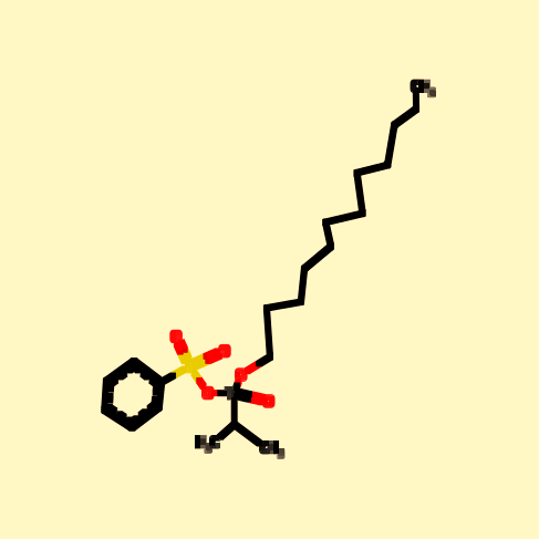 CCCCCCCCCCCC[O][Ti](=[O])([O]S(=O)(=O)c1ccccc1)[CH](C)C